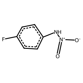 O=[N+]([O-])Nc1ccc(F)cc1